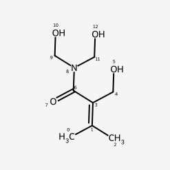 CC(C)=C(CO)C(=O)N(CO)CO